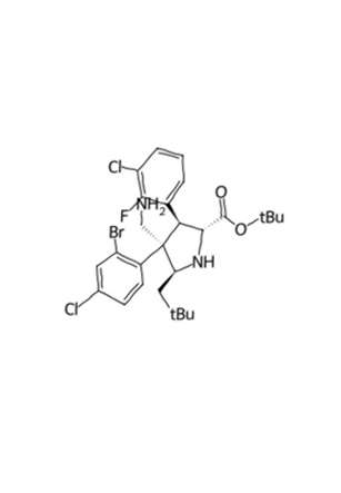 CC(C)(C)C[C@@H]1N[C@@H](C(=O)OC(C)(C)C)[C@H](c2cccc(Cl)c2F)[C@]1(CN)c1ccc(Cl)cc1Br